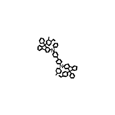 C=Cc1ccc(C2(c3ccccc3)c3ccccc3-c3ccc(N(C4=CCC(C)C=C4)c4ccc(-c5ccc(N(c6ccccc6)c6ccc7c(c6)C(C6=CC(C)C(C=C)C=C6)(C6C=CC=CC6)c6ccccc6-7)cc5)cc4)cc32)cc1